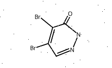 O=C1[N]N=CC(Br)=C1Br